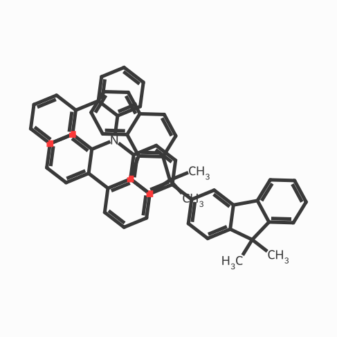 CC1(C)c2ccccc2-c2cc(-c3ccc(N(c4ccccc4-c4ccccc4)c4ccccc4-c4cccc5c4-c4c(ccc6ccccc46)C5(C)C)cc3)ccc21